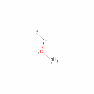 CC[O][InH2]